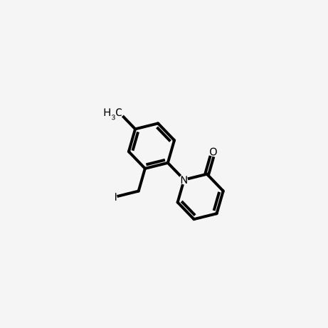 Cc1ccc(-n2ccccc2=O)c(CI)c1